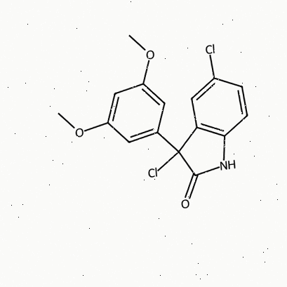 COc1cc(OC)cc(C2(Cl)C(=O)Nc3ccc(Cl)cc32)c1